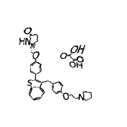 O=C(O)C(=O)O.O=C1CC[C@H](COc2ccc(-c3sc4ccccc4c3Cc3ccc(OCCN4CCCC4)cc3)cc2)N1